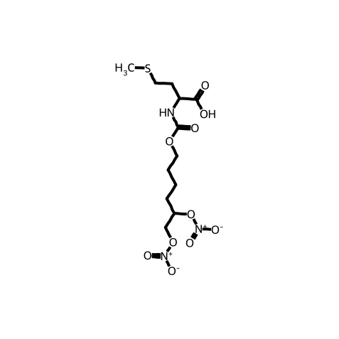 CSCCC(NC(=O)OCCCCC(CO[N+](=O)[O-])O[N+](=O)[O-])C(=O)O